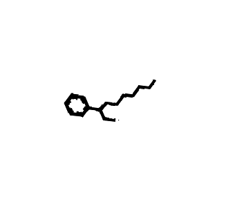 [CH2]CC(CCCCCCC)c1ccccc1